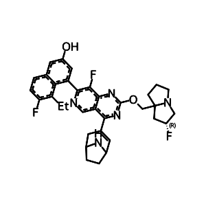 CCc1c(F)ccc2cc(O)cc(-c3ncc4c(C5=CC6CCC(C5)N6)nc(OCC56CCCN5C[C@H](F)C6)nc4c3F)c12